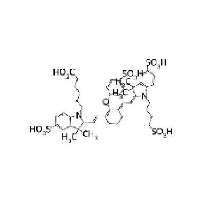 CC1(C)/C(=C\C=C2/CCCC(/C=C/C3N(CCCCCC(=O)O)c4ccc(S(=O)(=O)O)cc4C3(C)C)=C2Oc2ccc(S(=O)(=O)O)cc2)N(CCCCS(=O)(=O)O)c2ccc(S(=O)(=O)O)cc21